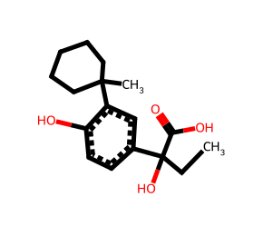 CCC(O)(C(=O)O)c1ccc(O)c(C2(C)CCCCC2)c1